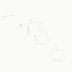 Cc1nc(C(=O)OC2CC2)c(O)c2ccc(Oc3ccccc3)cc12